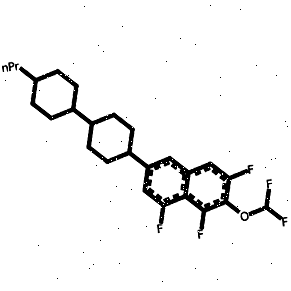 CCCC1CCC(C2CCC(c3cc(F)c4c(F)c(OC(F)F)c(F)cc4c3)CC2)CC1